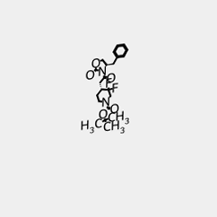 CC(C)(C)OC(=O)N1CC[C@H](CC(=O)N2C(=O)OC[C@H]2Cc2ccccc2)C(F)(F)C1